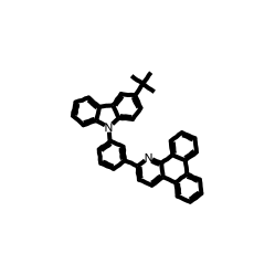 CC(C)(C)c1ccc2c(c1)c1ccccc1n2-c1cccc(-c2ccc3c4ccccc4c4ccccc4c3n2)c1